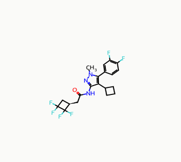 Cn1nc(NC(=O)C[C@@H]2CC(F)(F)C2(F)F)c(C2CCC2)c1-c1ccc(F)c(F)c1